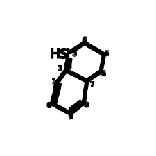 C1=CC2=[SiH]CCCC2C=C1